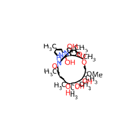 CO[C@H]1/C=C/O[C@@]2(C)Oc3c(C)c(O)c4c(O)c(c5c(c4c3C2=O)N(C)C2C=C(C)C=CN52)NC(=O)/C(C)=C\C=C\[C@H](C)C(O)[C@@H](C)[C@@H](O)[C@@H](C)C(O)[C@@H]1C